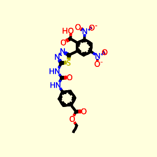 CCOC(=O)c1ccc(NC(=O)Nc2nnc(-c3cc([N+](=O)[O-])cc([N+](=O)[O-])c3C(=O)O)s2)cc1